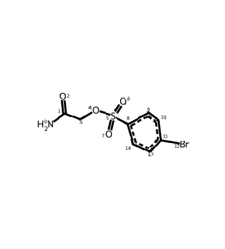 NC(=O)COS(=O)(=O)c1ccc(Br)cc1